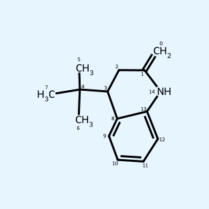 C=C1CC(C(C)(C)C)c2ccccc2N1